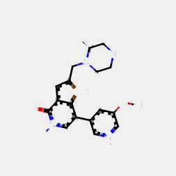 COc1cncc(-c2cn(C)c(=O)c3cc(CN4CCNC[C@@H]4C)sc23)c1